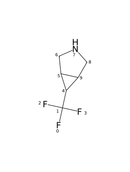 FC(F)(F)C1C2CNCC21